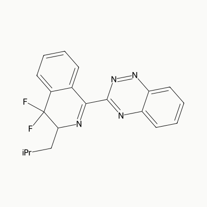 CC(C)CC1N=C(c2nnc3ccccc3n2)c2ccccc2C1(F)F